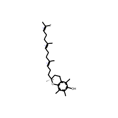 C/C(F)=C/CC/C(C)=C/CC/C(C)=C/CC[C@@]1(C)CCc2c(C)c(O)c(C)c(C)c2O1